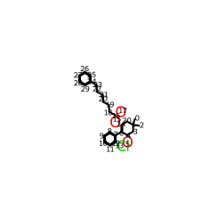 CC1(C)CC(=O)C(c2ccccc2Cl)=C(OC(=O)CCCCCCc2ccccc2)C1